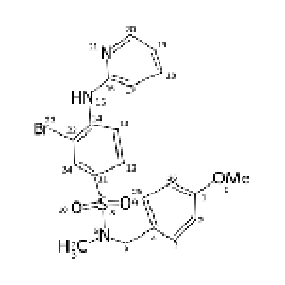 COc1ccc(CN(C)S(=O)(=O)c2ccc(Nc3ccccn3)c(Br)c2)cc1